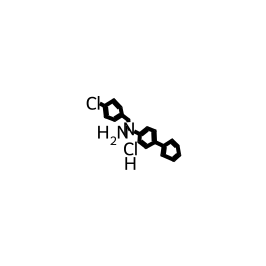 Cl.NN(Cc1ccc(Cl)cc1)c1ccc(-c2ccccc2)cc1